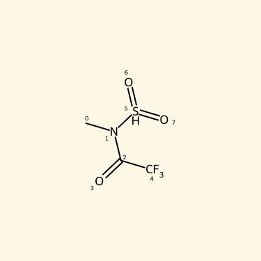 CN(C(=O)C(F)(F)F)[SH](=O)=O